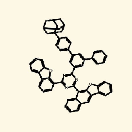 c1ccc(-c2cc(-c3ccc(C45CC6CC(CC(C6)C4)C5)cc3)cc(-c3nc(-c4cccc5c4oc4ccccc45)nc(-c4c5ccccc5cc5c4oc4ccccc45)n3)c2)cc1